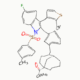 COC(=O)C12CCCC(C1)C(c1cccc(-c3c(-c4ccsc4C#N)c4cc(F)ccc4n3S(=O)(=O)c3ccc(C)cc3)c1)CC2